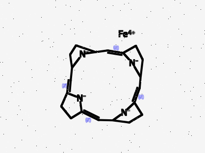 C1=C2/CC/C(=C/C3CCC(/C=C4/CCC(/C=C5/CCC/1[N-]5)[N-]4)[N-]3)[N-]2.[Fe+4]